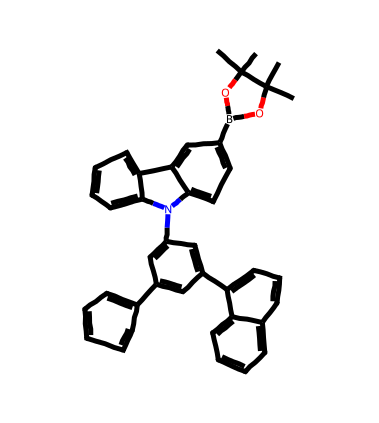 CC1(C)OB(c2ccc3c(c2)c2ccccc2n3-c2cc(-c3ccccc3)cc(-c3cccc4ccccc34)c2)OC1(C)C